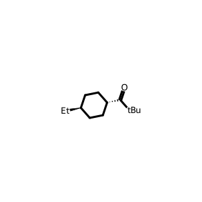 CC[C@H]1CC[C@H](C(=O)C(C)(C)C)CC1